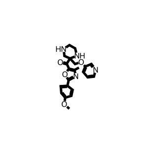 COc1ccc(-c2nc(C)c(C(=O)C3(COc4cccnc4)CNCCN3)o2)cc1